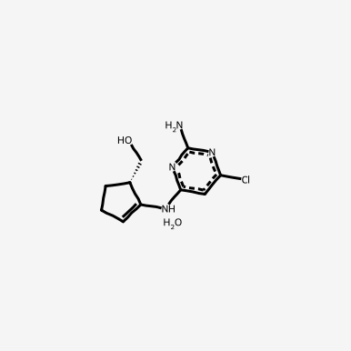 Nc1nc(Cl)cc(NC2=CCC[C@@H]2CO)n1.O